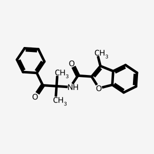 Cc1c(C(=O)NC(C)(C)C(=O)c2ccccc2)oc2ccccc12